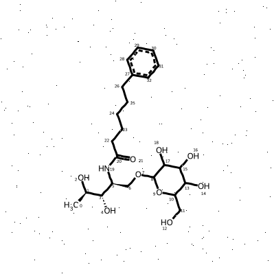 C[C@@H](O)[C@@H](O)[C@H](COC1OC(CO)C(O)C(O)C1O)NC(=O)CCCCCc1ccccc1